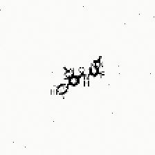 Cc1cn2cc(NC(=O)c3ccc(N4C[C@@H](C)N[C@H](C)C4)c4sc(C)nc34)cc(F)c2n1